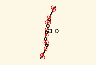 C=CC(=O)OCCCCCCOc1ccc(OC(=O)C2CCC(COc3ccc(OCC4CCC(C(=O)Oc5ccc(COCCCCCOC(=O)C=C)cc5)CC4)cc3C=O)CC2)cc1